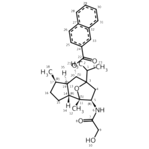 CC(C)C12C[C@@H](NC(=O)CO)[C@@](C)(O1)[C@@H]1CC[C@@H](C)[C@H]1[C@@H]2OC(=O)c1ccc2ccccc2c1